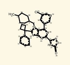 CC1CCC(Cn2c(C3(c4ccccc4)CCC3)nc3nc(-c4noc(=O)[nH]4)nc(-c4cncc(Cl)c4)c32)CC1